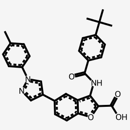 Cc1ccc(-n2cc(-c3ccc4oc(C(=O)O)c(NC(=O)c5ccc(C(C)(C)C)cc5)c4c3)cn2)cc1